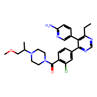 CCc1ncnc(-c2ccc(C(=O)N3CCN(C(C)COC)CC3)c(Cl)c2)c1-c1ccc(N)nc1